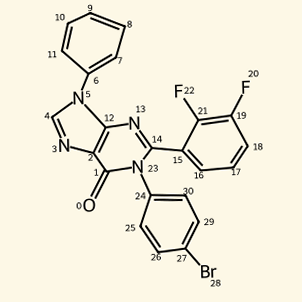 O=c1c2ncn(-c3ccccc3)c2nc(-c2cccc(F)c2F)n1-c1ccc(Br)cc1